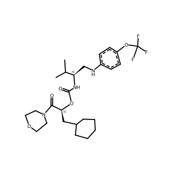 CC(C)[C@@H](CNc1ccc(OC(F)(F)F)cc1)NC(=O)O[C@@H](CC1CCCCC1)C(=O)N1CCOCC1